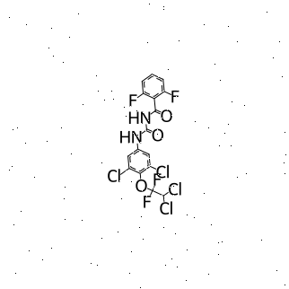 O=C(NC(=O)c1c(F)cccc1F)Nc1cc(Cl)c(OC(F)(F)C(Cl)Cl)c(Cl)c1